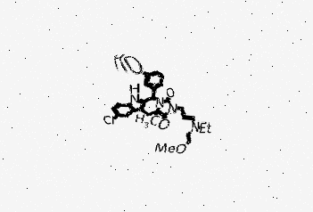 CCN(CCCN1C(=O)N2C(c3cccc(O)c3)c3[nH]c4ccc(Cl)cc4c3CC2(C)C1=O)CCOC